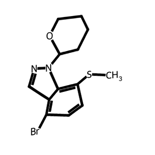 CSc1ccc(Br)c2cnn(C3CCCCO3)c12